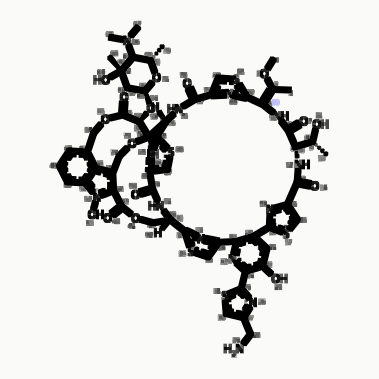 CO/C(C)=C1/NC(=O)[C@H]([C@@H](C)O)NC(=O)c2csc(n2)-c2cc(O)c(-c3nc(CN)cs3)nc2-c2csc(n2)[C@@H]2COC(=O)c3c4c5c(cccc5n3O)COC(=O)[C@@H](O[C@H]3C[C@](C)(O)C(N(C)C)[C@H](C)O3)[C@@H](OC4)[C@H](NC(=O)c3csc1n3)c1nc(cs1)C(=O)N2